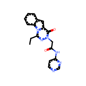 CCc1nn(CC(=O)Nc2ccncn2)c(=O)c2cc3ccccc3n12